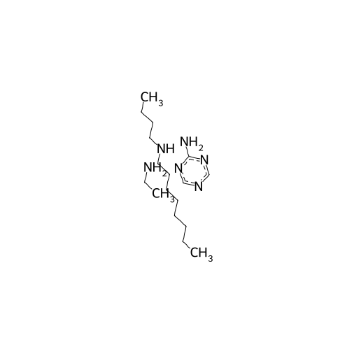 CCCCCCCCNCCCC.CCN.Nc1ncncn1